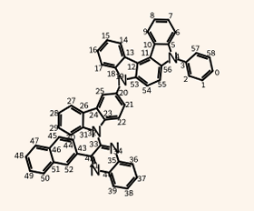 c1ccc(-n2c3ccccc3c3c4c5ccccc5n(-c5ccc6c(c5)c5ccccc5n6-c5nc6ccccc6nc5-c5ccc6ccccc6c5)c4ccc32)cc1